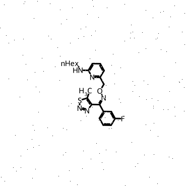 CCCCCCNc1cccc(CON=C(c2cccc(F)c2)c2nnsc2C)n1